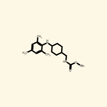 Cc1cc(C)c(NC2CCC(CNC(=O)OC(C)(C)C)CC2)c(C)c1